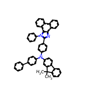 CC1(C)c2ccccc2-c2ccc(N(c3ccc(-c4ccccc4)cc3)c3ccc(-c4nc5c6ccccc6c6ccccc6c5n4-c4ccccc4)cc3)cc21